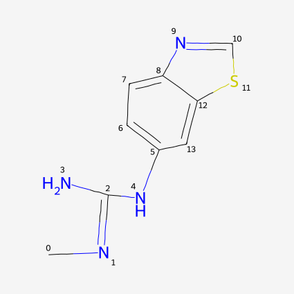 C/N=C(\N)Nc1ccc2ncsc2c1